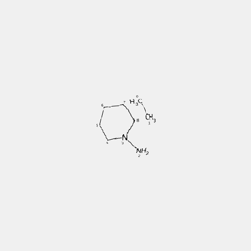 CC.NN1CCCCC1